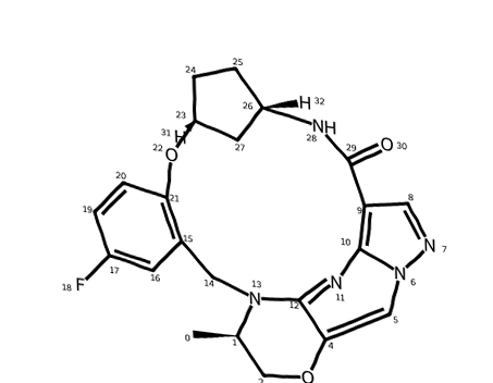 C[C@@H]1COc2cn3ncc4c3nc2N1Cc1cc(F)ccc1O[C@@H]1CC[C@@H](C1)NC4=O